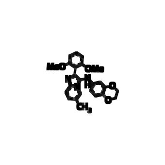 COc1cccc(OC)c1-c1nc2ccc(C)cn2c1Nc1ccc2c(c1)OCCO2